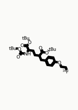 CC(C)(C)OC(=O)NC(CCC(Cc1ccc(OCC[18F])cc1)C(=O)OC(C)(C)C)C(=O)OC(C)(C)C